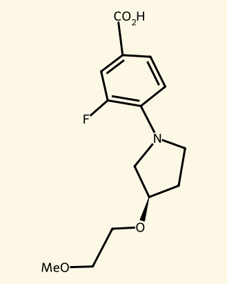 COCCO[C@@H]1CCN(c2ccc(C(=O)O)cc2F)C1